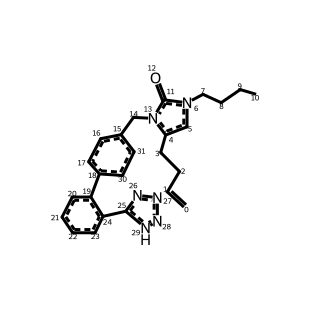 C=CCCc1cn(CCCC)c(=O)n1Cc1ccc(-c2ccccc2-c2nnn[nH]2)cc1